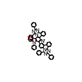 Cn1c2c(-c3ccccc3-c3nc(-c4ccccc4)nc(-c4ccccc4)n3)cccc2c2c1c(-c1ccccc1-c1nc(-c3ccccc3)nc(-c3ccccc3)n1)cc1c3ccccc3n(-c3ccccc3)c12